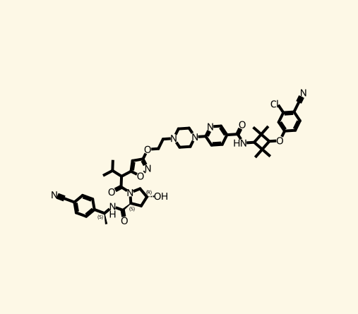 CC(C)C(C(=O)N1C[C@H](O)C[C@H]1C(=O)N[C@@H](C)c1ccc(C#N)cc1)c1cc(OCCN2CCN(c3ccc(C(=O)NC4C(C)(C)C(Oc5ccc(C#N)c(Cl)c5)C4(C)C)cn3)CC2)no1